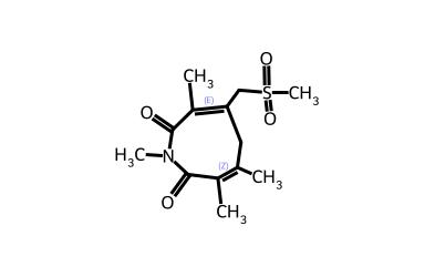 C/C1=C(\C)C(=O)N(C)C(=O)/C(C)=C(/CS(C)(=O)=O)C1